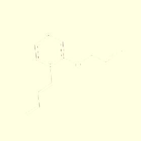 C=CC=Cc1ccccc1OCC=O